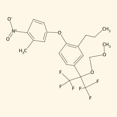 CCCc1cc(C(OCOC)(C(F)(F)F)C(F)(F)F)ccc1Oc1ccc([N+](=O)[O-])c(C)c1